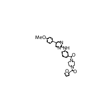 COc1ccc(-c2cnc(Nc3cccc(C(=O)N4CCN(C(=O)c5ccco5)CC4)c3)nc2)cc1